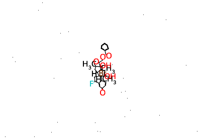 CC1C[C@H]2[C@@H]3CC(F)C4=CC(=O)C=C[C@]4(C)[C@@]3(Br)C(O)C[C@]2(C)[C@@]1(O)C(=O)COC(=O)c1ccccc1